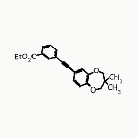 CCOC(=O)c1cccc(C#Cc2ccc3c(c2)OCC(C)(C)CO3)c1